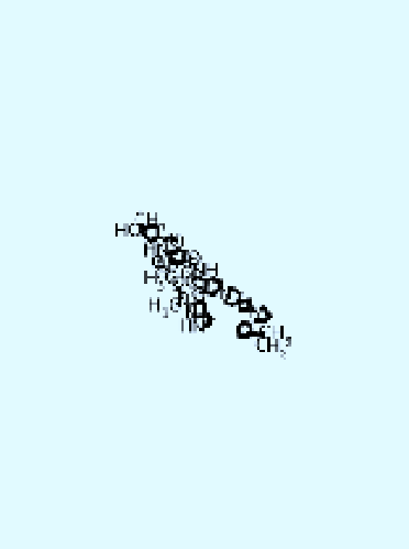 COCCN(C)c1nc2[nH]ccc2cc1Oc1cc(N2CCC3(CC2)CC(N2CCC[C@@H]2c2ccccc2C(C)C)C3)ccc1C(=O)NS(=O)(=O)c1cc2c(c([N+](=O)[O-])c1)N[C@@H](C1CCC(C)(O)CC1)CO2